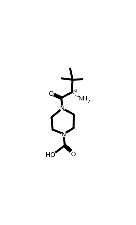 CC(C)(C)[C@H](N)C(=O)N1CCN(C(=O)O)CC1